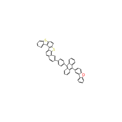 c1ccc2c(c1)oc1ccc(-c3c4ccccc4c(-c4ccc(-c5ccc6ccc7c(sc8ccc9sc%10ccccc%10c9c87)c6c5)cc4)c4ccccc34)cc12